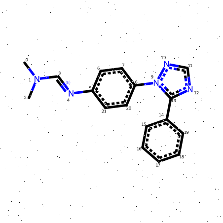 CN(C)/C=N/c1ccc(-n2ncnc2-c2ccccc2)cc1